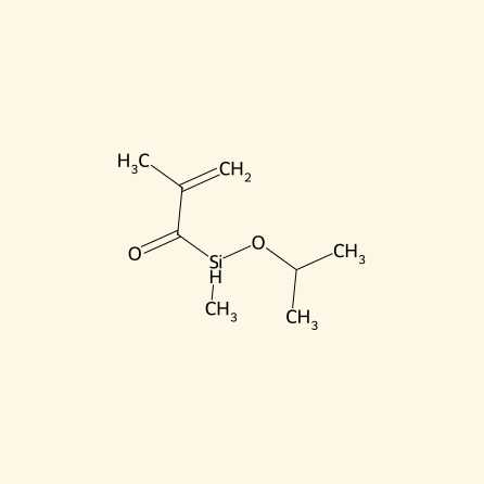 C=C(C)C(=O)[SiH](C)OC(C)C